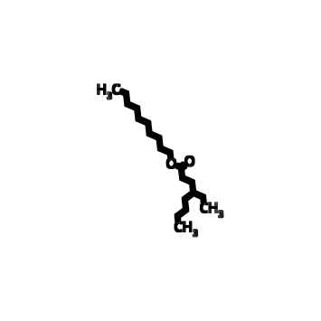 CCCCCCCCCCOC(=O)CCC(CC)CCCC